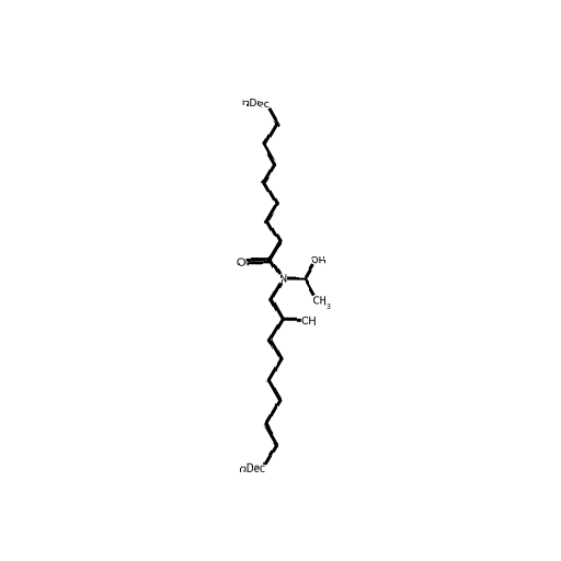 CCCCCCCCCCCCCCCCCC(=O)N(CC(O)CCCCCCCCCCCCCCCC)C(C)O